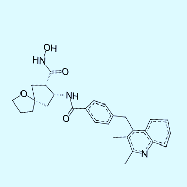 Cc1nc2ccccc2c(Cc2ccc(C(=O)N[C@@H]3C[C@@]4(CCCO4)C[C@@H]3C(=O)NO)cc2)c1C